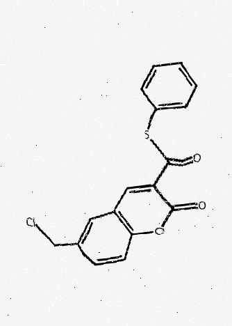 O=C(Sc1ccccc1)c1cc2cc(CCl)ccc2oc1=O